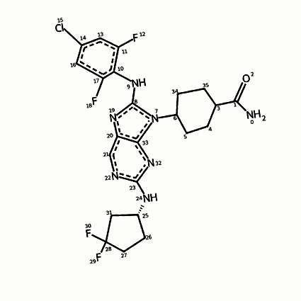 NC(=O)C1CCC(n2c(Nc3c(F)cc(Cl)cc3F)nc3cnc(N[C@@H]4CCC(F)(F)C4)nc32)CC1